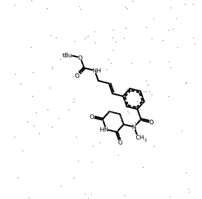 CN(C(=O)c1cccc(/C=C/CNC(=O)OC(C)(C)C)c1)C1CCC(=O)NC1=O